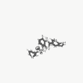 O=C(Nc1c(F)ccc(NS(=O)(=O)c2cccnc2)c1F)c1cnc2[nH]ccc2c1